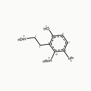 CCCCCCCCCCCCc1c(O)ccc(CCC)c1CCCCCCCCC